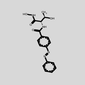 C[C@@H](O)[C@H](NC(=O)c1ccc(N=Nc2ccccc2)cc1)C(=O)NO